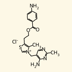 Cc1ncc(C[n+]2csc(CCOC(=O)c3ccc(N)cc3)c2C)c(N)n1.[Cl-]